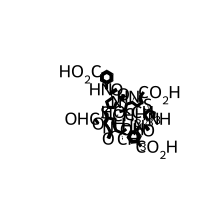 C[C@@H](O)[C@@H](C(=O)N1C[C@@H](SC2=C(OC=O)N3C(=O)[C@H]([C@@H](C)O)[C@H]3[C@H]2C)C[C@H]1C(=O)Nc1cccc(C(=O)O)c1)[C@@H]1NC(C(=O)O)=C(S[C@@H]2CN[C@H](C(=O)Nc3cccc(C(=O)O)c3)C2)[C@@H]1C